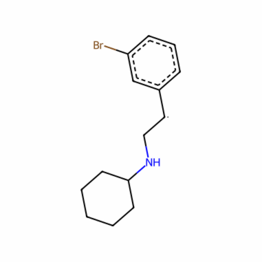 Brc1cccc([CH]CNC2CCCCC2)c1